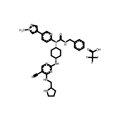 Cn1cc(-c2ccc(N(C(=O)NCc3ccccc3)[C@H]3CC[C@H](Nc4ncc(C#N)c(NCC5CCCN5)n4)CC3)nc2)cn1.O=C(O)C(F)(F)F